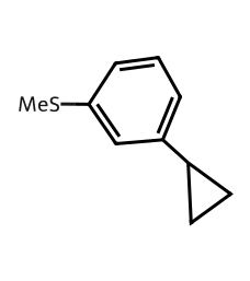 CSc1cccc(C2CC2)c1